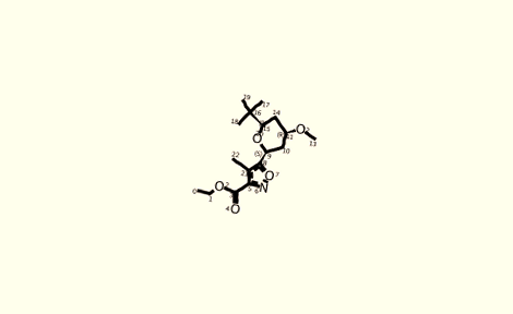 CCOC(=O)c1noc([C@@H]2C[C@H](OC)C[C@H](C(C)(C)C)O2)c1C